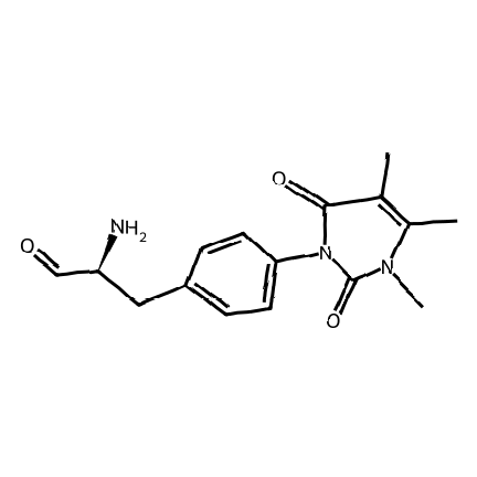 Cc1c(C)n(C)c(=O)n(-c2ccc(C[C@H](N)C=O)cc2)c1=O